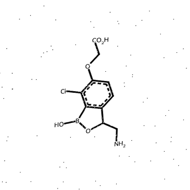 NCC1OB(O)c2c1ccc(OCC(=O)O)c2Cl